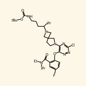 CCN(C(=O)c1cc(F)ccc1Oc1nnc(Cl)nc1N1CCC2(C1)CN(C(CCCNC(=O)OC(C)(C)C)C(C)C)C2)C(C)C